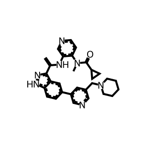 C=C(Nc1cnccc1N(C)C(=O)C1CC1)c1n[nH]c2ccc(-c3cncc(CN4CCCCC4)c3)cc12